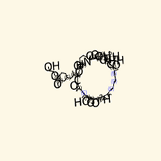 [2H]C([2H])([2H])O[C@H]1C[C@@H]2CC[C@@H](C)[C@@](O)(O2)C(=O)C(=O)N2CCCC[C@H]2C(=O)O[C@H]([C@H](C)C[C@@H]2CC[C@@H](OCCO)[C@H](OC)C2)CC(=O)[C@H](C)/C=C(\C)[C@@H](O)[C@@H](OC)C(=O)[C@H](C)C([2H])(C)C(C)(C)/C=C/C=C/C=C/1C